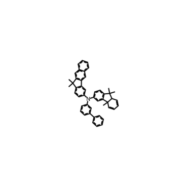 CC1(C)c2ccc(N(c3cccc(-c4ccccc4)c3)c3ccc4c(c3)C3(C)C=CC=CC3C4(C)C)cc2-c2cc3ccccc3cc21